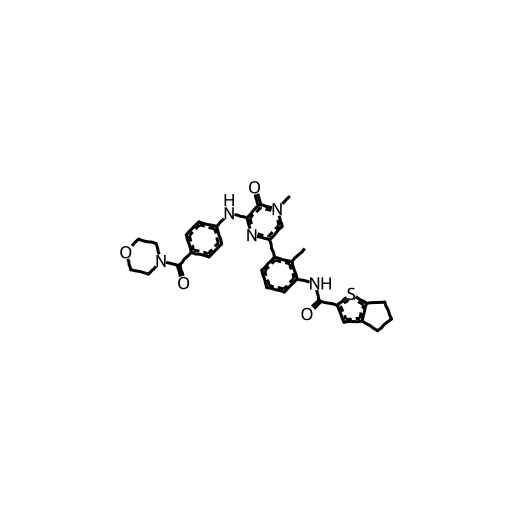 Cc1c(NC(=O)c2cc3c(s2)CCC3)cccc1-c1cn(C)c(=O)c(Nc2ccc(C(=O)N3CCOCC3)cc2)n1